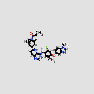 C=CC(=O)N1C[C@@H]2C[C@H](c3ccc4ncnc(Nc5cc(C)c(Oc6ccc7c(c6)ncn7C)cc5F)c4n3)C[C@H]1C2